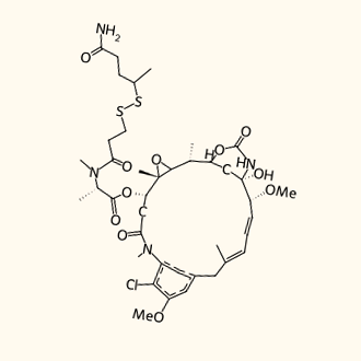 COc1cc2cc(c1Cl)N(C)C(=O)C[C@H](OC(=O)[C@H](C)N(C)C(=O)CCSSC(C)CCC(N)=O)[C@]1(C)OC1[C@H](C)[C@@H]1C[C@@](O)(NC(=O)O1)[C@H](OC)/C=C/C=C(\C)C2